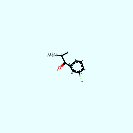 CNC(C)C(=O)c1cccc(F)c1